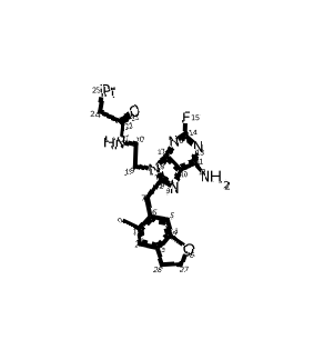 Cc1cc2c(cc1Cc1nc3c(N)nc(F)nc3n1CCNC(=O)CC(C)C)OCC2